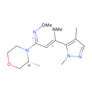 CN/C(=C\C(=N/OC)N1CCOC[C@H]1C)c1c(C)cnn1C